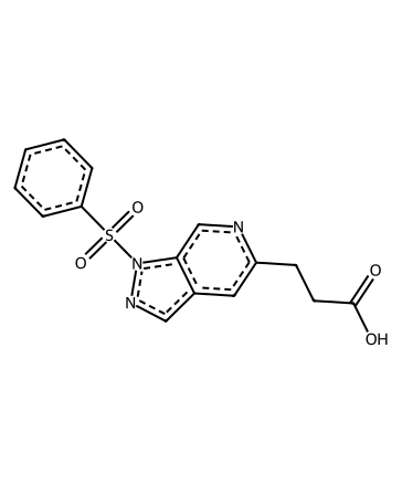 O=C(O)CCc1cc2cnn(S(=O)(=O)c3ccccc3)c2cn1